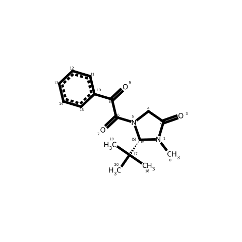 CN1C(=O)CN(C(=O)C(=O)c2ccccc2)[C@H]1C(C)(C)C